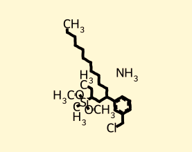 CCCCCCCCCCCC(CC(CC)[Si](C)(OC)OC)c1cccc(CCl)c1.N